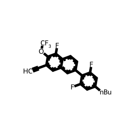 C#Cc1cc2cc(-c3c(F)cc(CCCC)cc3F)ccc2c(F)c1OC(F)(F)F